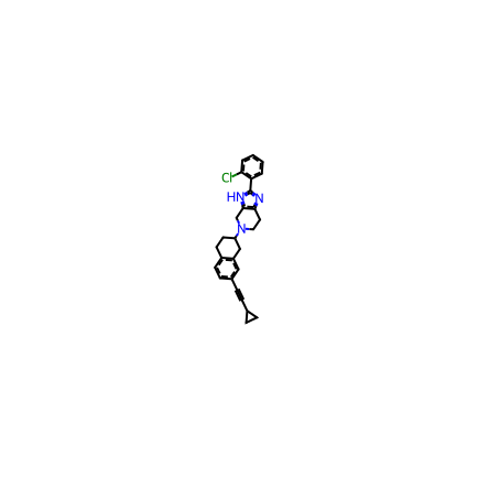 Clc1ccccc1-c1nc2c([nH]1)CN(C1CCc3ccc(C#CC4CC4)cc3C1)CC2